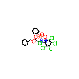 C[C@H](NP(=O)(Oc1ccccc1)Oc1c(Cl)c(Cl)c(Cl)c(Cl)c1Cl)C(=O)OCc1ccccc1